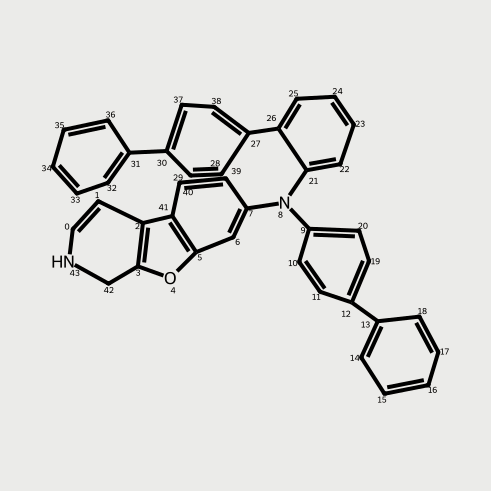 C1=Cc2c(oc3cc(N(c4ccc(-c5ccccc5)cc4)c4ccccc4-c4ccc(-c5ccccc5)cc4)ccc23)CN1